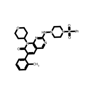 Cc1ccccc1-c1cc2cnc(NN3CCN(S(=O)(=O)C(C)C)CC3)nc2n(C2CCOCC2)c1=O